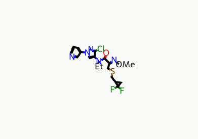 CCN(C(=O)/C(CSCC1CC1(F)F)=N/OC)c1cn(-c2cccnc2)nc1Cl